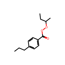 CCCc1ccc(C(=O)OO[C](C)CC)cc1